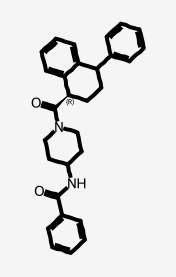 O=C(NC1CCN(C(=O)[C@@H]2CCC(c3ccccc3)c3ccccc32)CC1)c1ccccc1